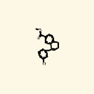 COC(=O)c1ccc2c(c1)C(c1cccc(Cl)c1)=CCC2